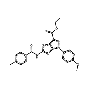 CCOC(=O)c1nn(-c2ccc(OC)cc2)c2nc(NC(=O)c3ccc(C)cc3)sc12